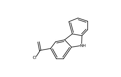 C=C(Cl)c1ccc2[nH]c3ccccc3c2c1